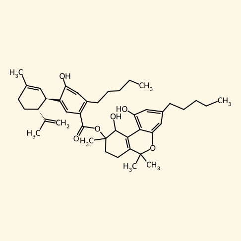 C=C(C)[C@@H]1CCC(C)=C[C@H]1c1cc(C(=O)OC2(C)CCC3=C(c4c(O)cc(CCCCC)cc4OC3(C)C)C2O)c(CCCCC)cc1O